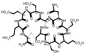 CC(=O)NC(CC(=O)O)C(=O)N[C@H](CO)C(=O)NC(CCC(=O)O)C(=O)N[C@H](CC(=O)O)C(=O)N[C@H](CC(N)=O)C(=O)N[C@H](C)C(=O)N[C@H](CC(=O)O)C(=O)N[C@H](CCC(=O)O)C(=O)NC(CCC(=O)O)C(=O)N[C@H](C)C(N)=O